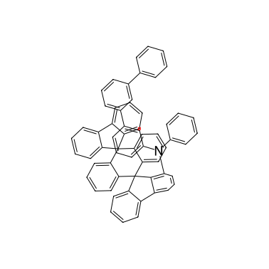 c1ccc(-c2cccc(-c3cccc(N(c4ccccc4)c4cccc5c4C4(c6ccccc6-5)c5ccccc5C5(c6ccccc6-c6ccccc65)c5ccccc54)c3)c2)cc1